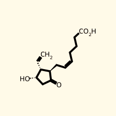 C=C[C@H]1[C@@H](O)CC(=O)[C@@H]1C/C=C\CCCC(=O)O